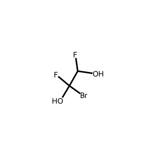 OC(F)C(O)(F)Br